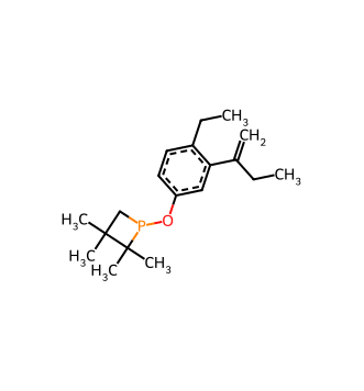 C=C(CC)c1cc(OP2CC(C)(C)C2(C)C)ccc1CC